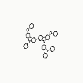 c1ccc(Oc2ccc3c(c2)c2cc(-c4ccc5c6cc(Oc7ccccc7)ccc6n(-c6ccc7c(c6)C(c6ccccc6)c6ccccc6-7)c5c4)ccc2n3-c2ccccc2)cc1